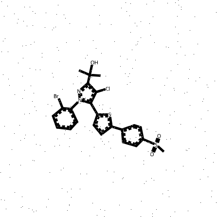 CC(C)(O)c1nn(-c2ccccc2Br)c(-c2ccc(-c3ccc(S(C)(=O)=O)cc3)s2)c1Cl